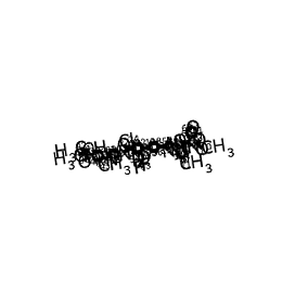 COC(=O)N[C@H](C(=O)N1C[C@@H](C)C[C@H]1c1nc(-c2ccc(-c3cc(Cl)c(C(=O)Nc4ccc(N5CCN(C(=O)C(C)(C)C)C[C@H]5C)nc4)cc3OC(F)(F)F)cc2)c[nH]1)C1CCOCC1